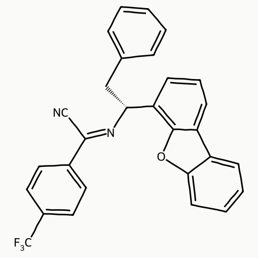 N#C/C(=N\[C@H](Cc1ccccc1)c1cccc2c1oc1ccccc12)c1ccc(C(F)(F)F)cc1